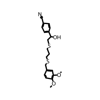 COc1ccc(CSCCCSCC(O)c2ccc(C#N)cc2)cc1OC